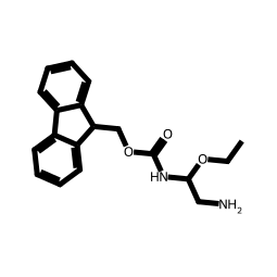 CCOC(CN)NC(=O)OCC1c2ccccc2-c2ccccc21